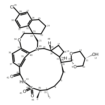 C[C@@H]1[C@@H](C)CCC[C@H]([C@H]2OC[C@@H](O)CO2)[C@@H]2CC[C@H]2CN2C[C@@]3(CCCc4cc(Cl)ccc43)COc3ccc(cc32)C(=O)NS1(=O)=O